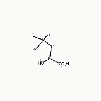 CC(C)(C)CC(O)C(=O)O